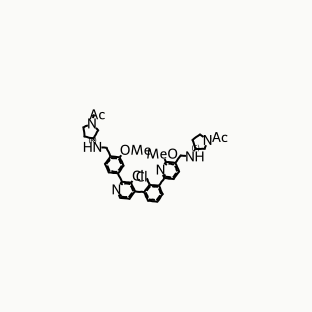 COc1cc(-c2nccc(-c3cccc(-c4ccc(CN[C@H]5CCN(C(C)=O)C5)c(OC)n4)c3Cl)c2Cl)ccc1CN[C@@H]1CCN(C(C)=O)C1